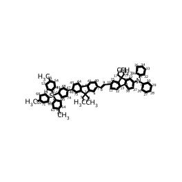 CCC1(CC)c2cc(/C=C/c3ccc4c(c3)C(CC)(CC)c3cc(N(c5ccccc5)c5ccccc5)ccc3-4)ccc2-c2ccc(-c3ccc([Si](c4ccc(C)cc4)(c4ccc(C)cc4)c4ccc(C)cc4)cc3)cc21